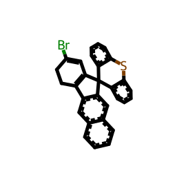 BrC1=CC2=C(CC1)c1cc3ccccc3cc1C21c2ccccc2Sc2ccccc21